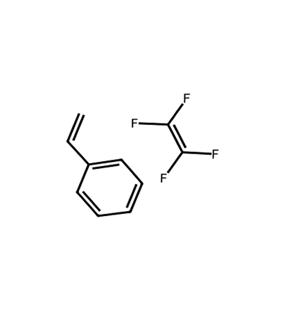 C=Cc1ccccc1.FC(F)=C(F)F